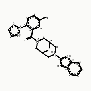 Cc1ccc(-n2nccn2)c(C(=O)N2CC3CN(c4nc5ccccc5s4)CC(C2)O3)c1